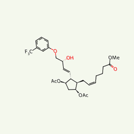 COC(=O)CCC/C=C\C[C@@H]1[C@@H](/C=C/[C@@H](O)COc2cccc(C(F)(F)F)c2)[C@H](OC(C)=O)C[C@@H]1OC(C)=O